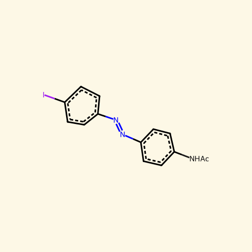 CC(=O)Nc1ccc(N=Nc2ccc(I)cc2)cc1